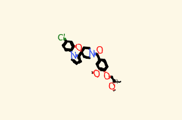 COc1cc(C(=O)N2CCC3(CC2)Oc2cc(Cl)ccc2-n2cccc23)ccc1OC[C@@H](C)OC